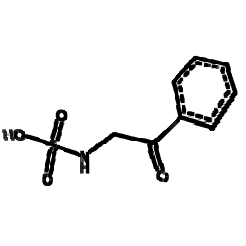 O=C(CNS(=O)(=O)O)c1ccccc1